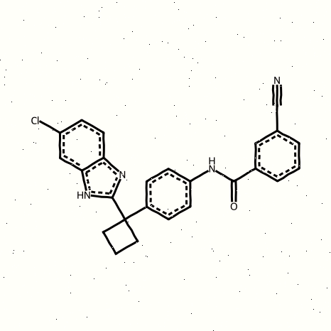 N#Cc1cccc(C(=O)Nc2ccc(C3(c4nc5ccc(Cl)cc5[nH]4)CCC3)cc2)c1